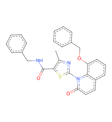 Cc1nc(-n2c(=O)ccc3cccc(OCc4ccccc4)c32)sc1C(=O)NCc1ccccc1